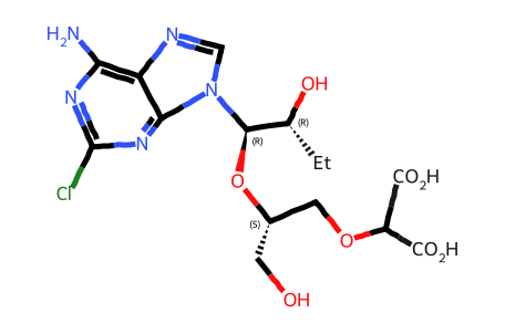 CC[C@@H](O)[C@@H](O[C@@H](CO)COC(C(=O)O)C(=O)O)n1cnc2c(N)nc(Cl)nc21